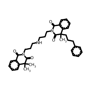 CC1(C)C(=O)N(CCCNCCCN2C(=O)c3ccccc3C(C)(CCCc3ccccc3)C2=O)C(=O)c2ccccc21